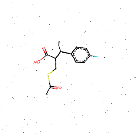 CC(=O)SCC(C(=O)O)C(C)c1ccc(F)cc1